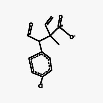 C=CC(C)(C(C=O)c1ccc(Cl)cc1)[N+](=O)[O-]